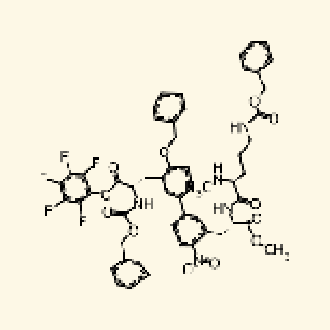 CN[C@@H](CCCNC(=O)OCc1ccccc1)C(=O)N[C@@H](Cc1cc(-c2ccc(OCc3ccccc3)c(C[C@H](NC(=O)OCc3ccccc3)C(=O)Oc3c(F)c(F)c(F)c(F)c3F)c2)ccc1[N+](=O)[O-])C(=O)OC